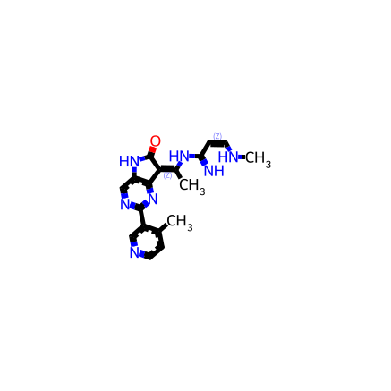 CN/C=C\C(=N)N/C(C)=C1\C(=O)Nc2cnc(-c3cnccc3C)nc21